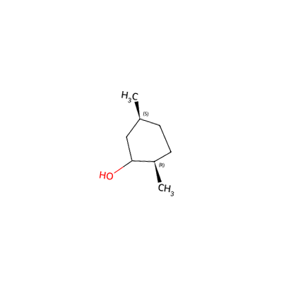 C[C@H]1CC[C@@H](C)C(O)C1